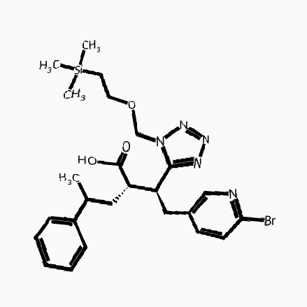 CC(C[C@H](C(=O)O)[C@H](Cc1ccc(Br)nc1)c1nnnn1COCC[Si](C)(C)C)c1ccccc1